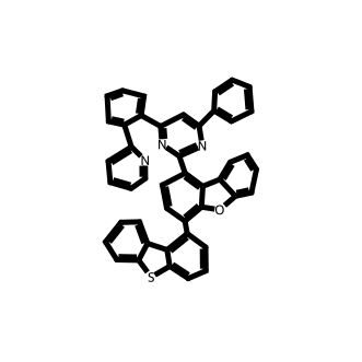 c1ccc(-c2cc(-c3ccccc3-c3ccccn3)nc(-c3ccc(-c4cccc5sc6ccccc6c45)c4oc5ccccc5c34)n2)cc1